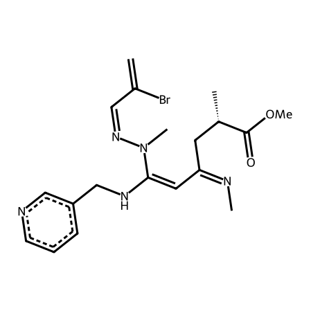 C=C(Br)/C=N\N(C)/C(=C\C(C[C@H](C)C(=O)OC)=N/C)NCc1cccnc1